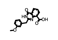 COc1cccc(Cc2nc3c(C(=O)O)cccc3c(=O)[nH]2)c1